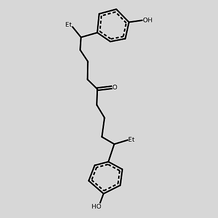 CCC(CCCC(=O)CCCC(CC)c1ccc(O)cc1)c1ccc(O)cc1